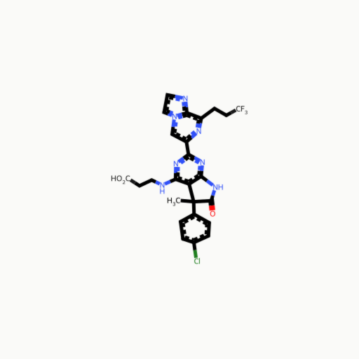 CC1(c2ccc(Cl)cc2)C(=O)Nc2nc(-c3cn4ccnc4c(CCC(F)(F)F)n3)nc(NCCC(=O)O)c21